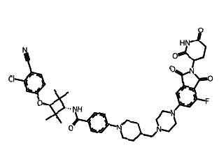 CC1(C)[C@H](NC(=O)c2ccc(N3CCC(CN4CCN(c5cc(F)c6c(c5)C(=O)N(C5CCC(=O)NC5=O)C6=O)CC4)CC3)cc2)C(C)(C)[C@H]1Oc1ccc(C#N)c(Cl)c1